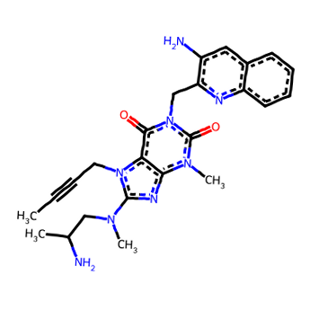 CC#CCn1c(N(C)CC(C)N)nc2c1c(=O)n(Cc1nc3ccccc3cc1N)c(=O)n2C